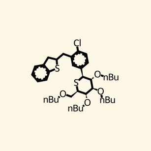 CCCCOC[C@H]1S[C@@H](c2ccc(Cl)c(CC3Cc4ccccc4S3)c2)[C@H](OCCCC)[C@@H](OCCCC)[C@@H]1OCCCC